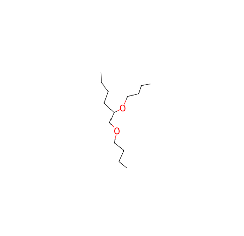 CCCCOCC(CCCC)OCCCC